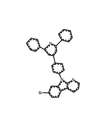 Brc1ccc2c3cccnc3n(-c3ccc(-c4cc(-c5ccccc5)nc(-c5ccccc5)c4)cc3)c2c1